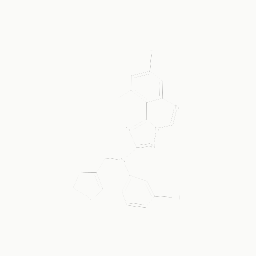 Cc1cccc(N(CC2=COCO2)c2nc3c4c(F)cc(F)cc4ncn3n2)c1